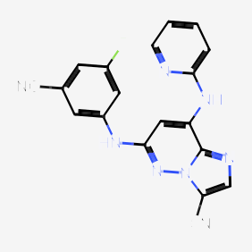 N#Cc1cc(F)cc(Nc2cc(Nc3ccccn3)c3ncc(C#N)n3n2)c1